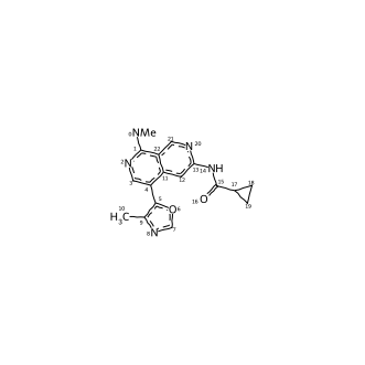 CNc1ncc(-c2ocnc2C)c2cc(NC(=O)C3CC3)ncc12